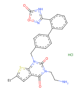 CCc1cc2c(=O)n(CCN)c(=O)n(Cc3ccc(-c4ccccc4-c4noc(=O)[nH]4)cc3)c2s1.Cl